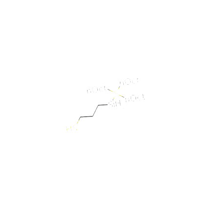 CCCCCCCCS(CCCCCCCC)(CCCCCCCC)[SiH2]CCCS